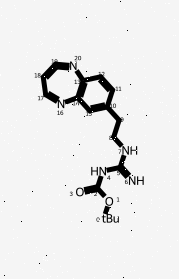 CC(C)(C)OC(=O)NC(=N)NCCc1ccc2c(c1)N=CC=C=N2